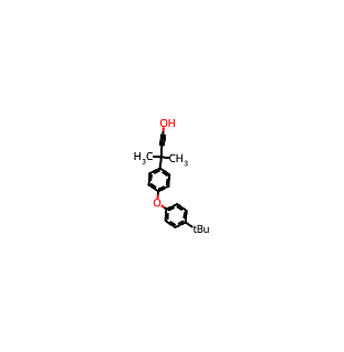 CC(C)(C)c1ccc(Oc2ccc(C(C)(C)C#CO)cc2)cc1